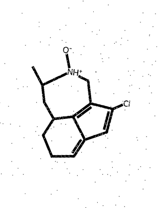 CC1CC2CCC=C3C=C(Cl)C(=C32)C[NH+]1[O-]